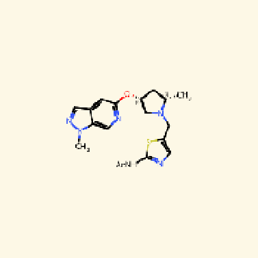 CC(=O)Nc1ncc(CN2C[C@H](Oc3cc4cnn(C)c4cn3)C[C@@H]2C)s1